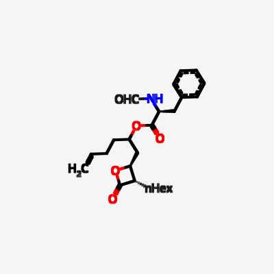 C=CCCC(C[C@@H]1OC(=O)[C@H]1CCCCCC)OC(=O)[C@H](Cc1ccccc1)NC=O